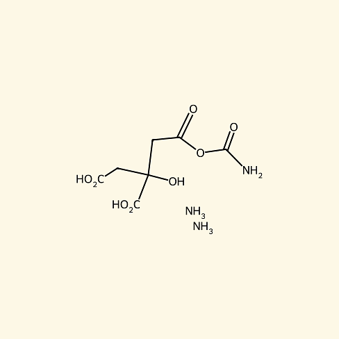 N.N.NC(=O)OC(=O)CC(O)(CC(=O)O)C(=O)O